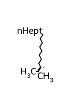 CCCCCCCCCCCCCCC[C]=C(C)C